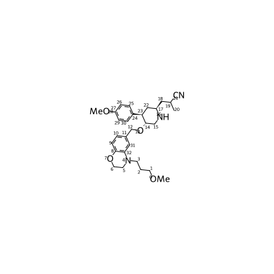 COCCCN1CCOc2ccc(CO[C@H]3CN[C@H](CC(C)C#N)C[C@@H]3c3ccc(OC)cc3)cc21